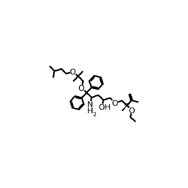 C=C(C)[C@@](C)(COCC(O)CC(N)C(OCC(C)(C)OCCC(C)C)(c1ccccc1)c1ccccc1)OCC